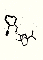 C#Cc1ccccc1COC1CC2(C(C)C)CCC1(C)O2